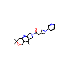 Cc1c2c(nc3c1CN(C(=O)CC1CN(c4cccnc4)C1)C3)CC(C)(C)OC2